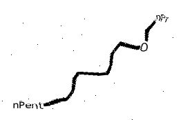 C[CH]COCCCCCCCCC